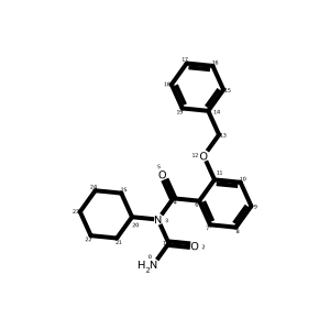 NC(=O)N(C(=O)c1ccccc1OCc1ccccc1)C1CCCCC1